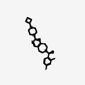 Cc1ccc(C(=O)N2CCc3cnc(N4CCN(C5CCC5)CC4)nc3CC2)c(C)c1